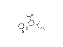 CCC(=O)c1cc(Nc2ccccc2O)cc([N+](=O)[O-])c1